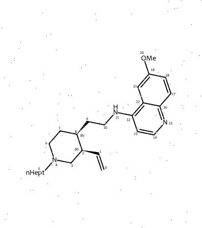 C=C[C@H]1CN(CCCCCCC)CC[C@H]1CCNc1ccnc2ccc(OC)cc12